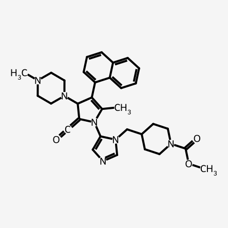 COC(=O)N1CCC(Cn2cncc2N2C(=C=O)C(N3CCN(C)CC3)C(c3cccc4ccccc34)=C2C)CC1